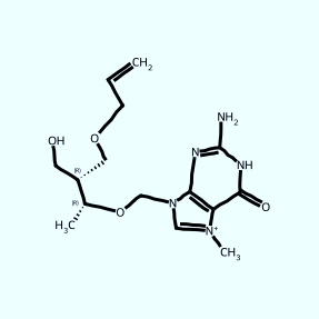 C=CCOC[C@@H](CO)[C@@H](C)OCn1c[n+](C)c2c(=O)[nH]c(N)nc21